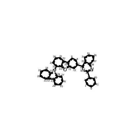 c1ccc(-c2nc(-c3ccc4c(c3)oc3c(-n5c6ccccc6c6ccccc65)cccc34)c3ccccc3n2)cc1